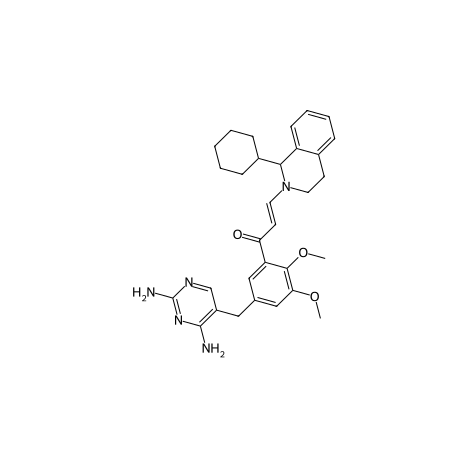 COc1cc(Cc2cnc(N)nc2N)cc(C(=O)/C=C/N2CCc3ccccc3C2C2CCCCC2)c1OC